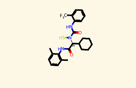 Cc1cccc(C)c1NC(=O)[C@@H](C1CCCCC1)N(S)C(=O)Nc1ccccc1C(F)(F)F